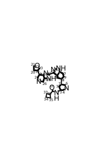 O=C(Nc1cncc(-c2ccc3[nH]nc(-c4nc5c(-c6ccoc6)cncc5[nH]4)c3c2)c1)C1CCC1